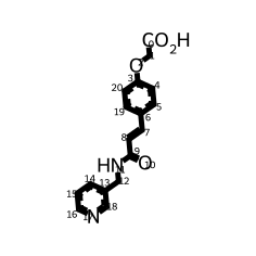 O=C(O)COc1ccc(/C=C/C(=O)NCc2cccnc2)cc1